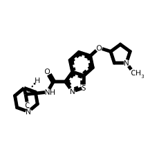 CN1CCC(Oc2ccc3c(C(=O)N[C@H]4CN5CCC4CC5)nsc3c2)C1